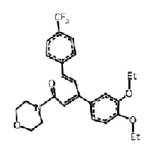 CCOc1ccc(C(C=Cc2ccc(C(F)(F)F)cc2)=CC(=O)N2CCOCC2)cc1OCC